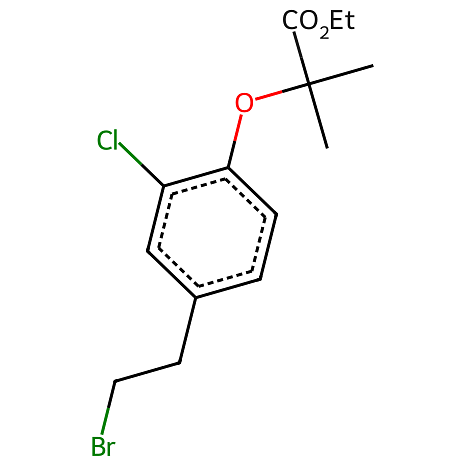 CCOC(=O)C(C)(C)Oc1ccc(CCBr)cc1Cl